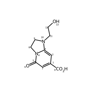 O=C(O)c1cc2n(c(=O)c1)CCN2CCO